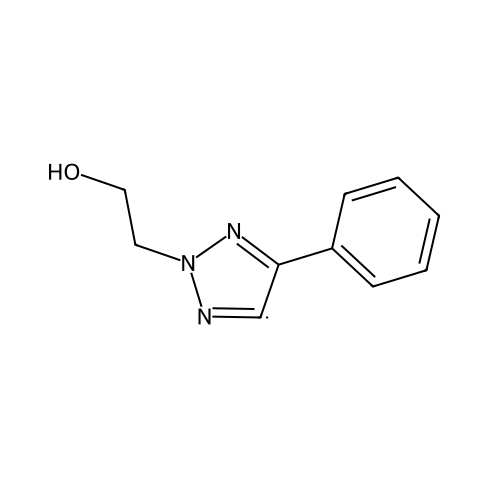 OCCn1n[c]c(-c2ccccc2)n1